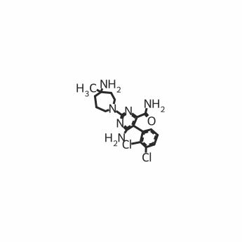 CC1(N)CCCN(c2nc(N)c(-c3cccc(Cl)c3Cl)c(C(N)=O)n2)CC1